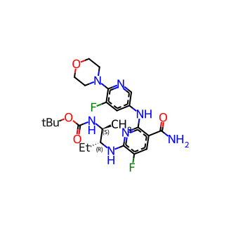 CC[C@@H](Nc1nc(Nc2cnc(N3CCOCC3)c(F)c2)c(C(N)=O)cc1F)[C@H](C)NC(=O)OC(C)(C)C